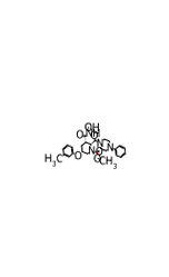 COC(=O)N1C[C@@H](Oc2cccc(C)c2)C[C@H](C(=O)NO)[C@H]1C(=O)N1CCN(c2ccccc2)CC1